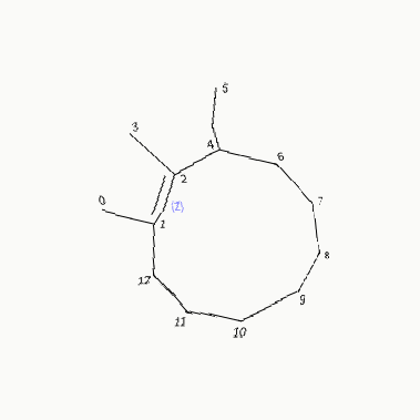 C/C1=C(\C)C(C)CCCCCCC1